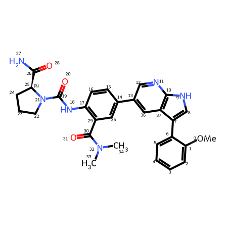 COc1ccccc1-c1c[nH]c2ncc(-c3ccc(NC(=O)N4CCC[C@H]4C(N)=O)c(C(=O)N(C)C)c3)cc12